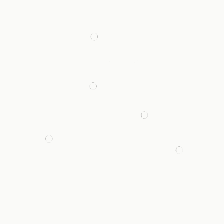 C=C(C)C(=O)OCC1CO1.COC(=O)C1=CCC1